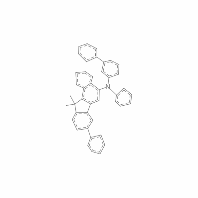 CC1(C)c2ccc(-c3ccccc3)cc2-c2cc(N(c3ccccc3)c3cccc(-c4ccccc4)c3)c3ccccc3c21